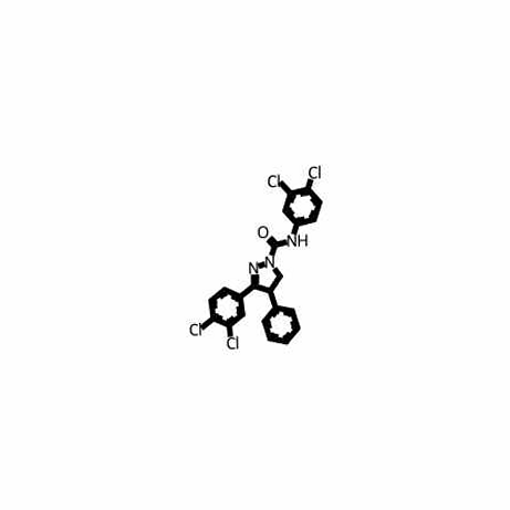 O=C(Nc1ccc(Cl)c(Cl)c1)N1CC(c2ccccc2)C(c2ccc(Cl)c(Cl)c2)=N1